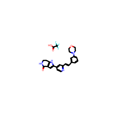 O=C(O)C(F)(F)F.O=C1NCCc2[nH]c(-c3ccnc(/C=C/c4cccc(N5CCOCC5)c4)c3)cc21